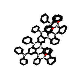 c1ccc(N(c2ccccc2)c2cc3c4c(c2)N(c2ccccc2-n2c5ccccc5c5ccccc52)c2ccccc2B4c2cc4c(cc2N3c2ccccc2)N(c2ccccc2)c2cc(N(c3ccccc3)c3ccccc3)cc3c2B4c2ccccc2N3c2ccccc2-n2c3ccccc3c3ccccc32)cc1